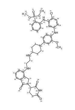 COc1cc(N2CCC(NCCNc3cccc4c3CN(C3CCC(=O)NC3=O)C4=O)CC2)ccc1Nc1ncc(Cl)c(Nc2ccccc2P(=O)(OC)OC)n1